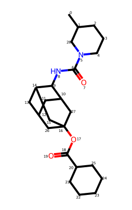 CC1CCCN(C(=O)NC2C3CC4CC2CC(OC(=O)C2CCCCC2)(C4)C3)C1